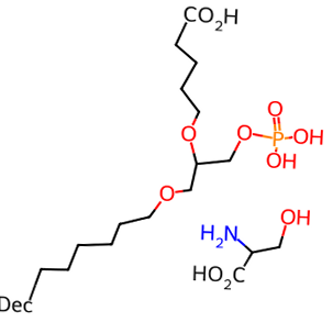 CCCCCCCCCCCCCCCCOCC(COP(=O)(O)O)OCCCCC(=O)O.NC(CO)C(=O)O